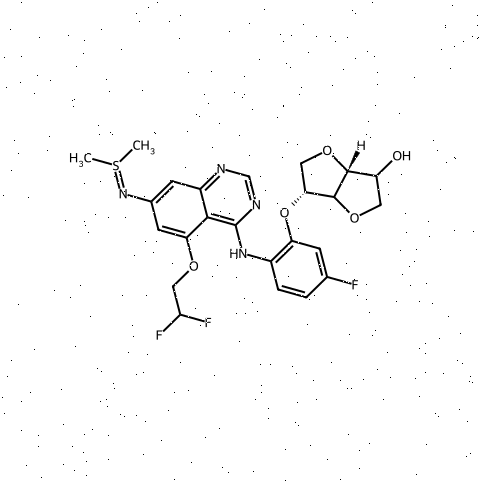 CS(C)=Nc1cc(OCC(F)F)c2c(Nc3ccc(F)cc3O[C@@H]3CO[C@@H]4C(O)COC43)ncnc2c1